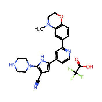 CN1CCOc2ccc(-c3cc(-c4cc(C#N)c(N5CCNCC5)[nH]4)ccn3)cc21.O=C(O)C(F)(F)F